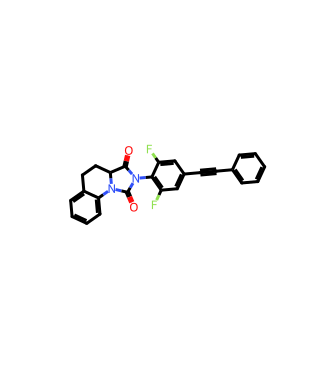 O=C1C2CCc3ccccc3N2C(=O)N1c1c(F)cc(C#Cc2ccccc2)cc1F